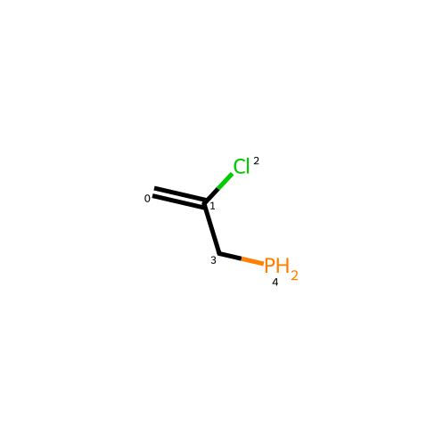 C=C(Cl)CP